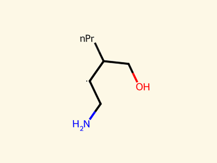 CCCC([CH]CN)CO